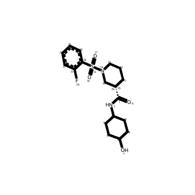 O=C(NC1CCC(O)CC1)[C@H]1CCCN(S(=O)(=O)c2ccccc2F)C1